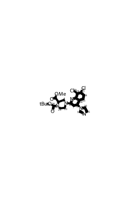 COC(=O)C1CN(c2cc(-n3ccnc3)c3ccc(Cl)c(Cl)c3n2)CCN1C(=O)OC(C)(C)C